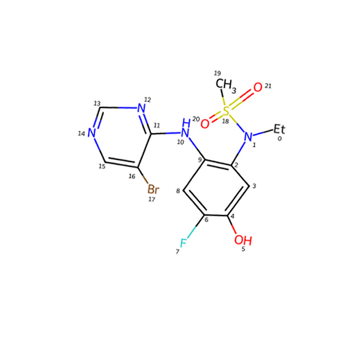 CCN(c1cc(O)c(F)cc1Nc1ncncc1Br)S(C)(=O)=O